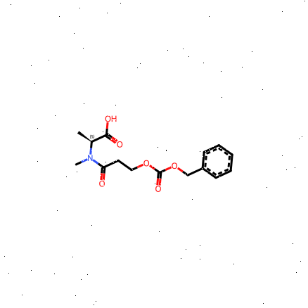 C[C@@H](C(=O)O)N(C)C(=O)CCOC(=O)OCc1ccccc1